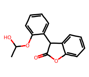 CC(O)Oc1ccccc1C1C(=O)Oc2ccccc21